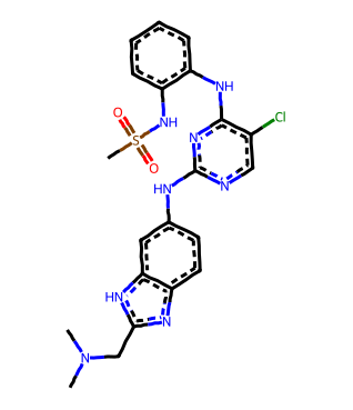 CN(C)Cc1nc2ccc(Nc3ncc(Cl)c(Nc4ccccc4NS(C)(=O)=O)n3)cc2[nH]1